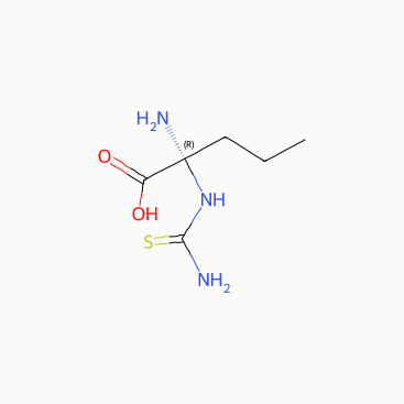 CCC[C@@](N)(NC(N)=S)C(=O)O